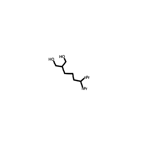 CCCC(CCC)CCCC(CO)CO